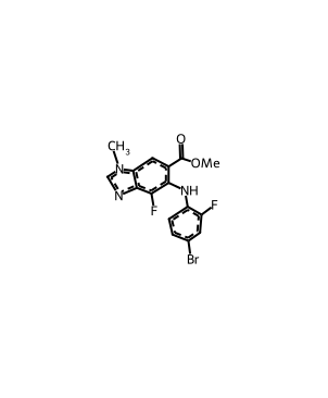 COC(=O)c1cc2c(ncn2C)c(F)c1Nc1ccc(Br)cc1F